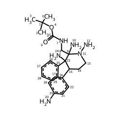 CC(C)(C)OC(=O)NCC1(N)N(N)CCC(c2ccc(N)cc2)C1(N)c1ccccc1